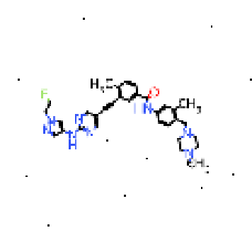 Cc1ccc(C(=O)Nc2ccc(CN3CCN(C)CC3)c(C)c2)cc1C#Cc1cnc(Nc2cnn(CCF)c2)nc1